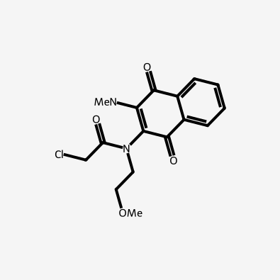 CNC1=C(N(CCOC)C(=O)CCl)C(=O)c2ccccc2C1=O